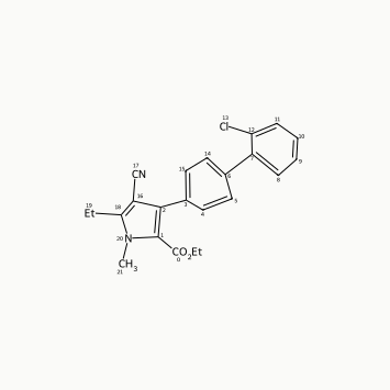 CCOC(=O)c1c(-c2ccc(-c3ccccc3Cl)cc2)c(C#N)c(CC)n1C